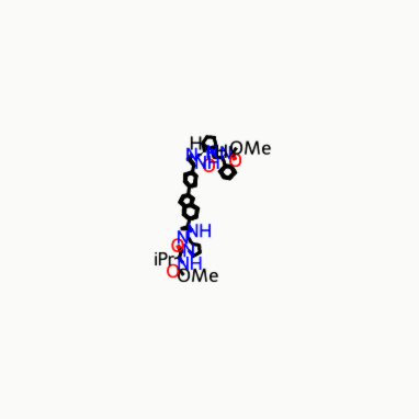 COC(=O)N[C@H](C(=O)N1CCCC1c1ncc(-c2ccc3cc(-c4ccc(-c5cnc([C@@H]6[C@H]7CC[C@H](C7)N6C(=O)[C@H](NC(=O)OC)c6ccccc6)[nH]5)cc4)ccc3c2)[nH]1)C(C)C